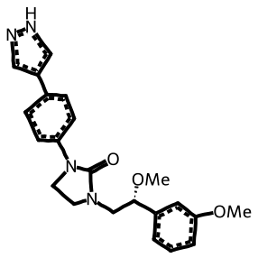 COc1cccc([C@H](CN2CCN(c3ccc(-c4cn[nH]c4)cc3)C2=O)OC)c1